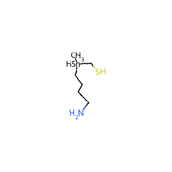 [CH3][SnH]([CH2]S)[CH2]CCCN